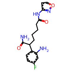 NC(=O)C(CCCCC(=O)Nc1ccon1)c1ccc(F)cc1N